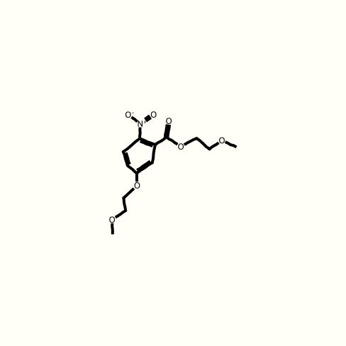 COCCOC(=O)c1cc(OCCOC)ccc1[N+](=O)[O-]